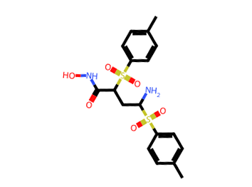 Cc1ccc(S(=O)(=O)C(N)CC(C(=O)NO)S(=O)(=O)c2ccc(C)cc2)cc1